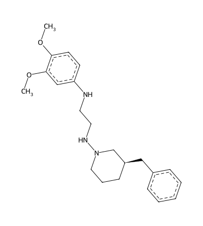 COc1ccc(NCCNN2CCC[C@H](Cc3ccccc3)C2)cc1OC